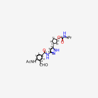 CC(=O)Nc1ccc(C(=O)Nc2cc([C@H]3CC[C@@H](OC(=O)NC(C)C)C3)[nH]n2)cc1C=O